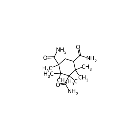 CC1(C(N)=O)CC(C(N)=O)C(C)(C)C(C)(C(N)=O)C1(C)C